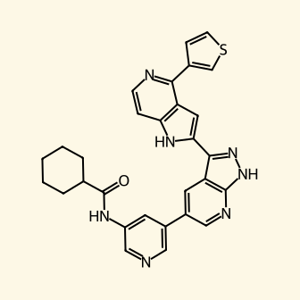 O=C(Nc1cncc(-c2cnc3[nH]nc(-c4cc5c(-c6ccsc6)nccc5[nH]4)c3c2)c1)C1CCCCC1